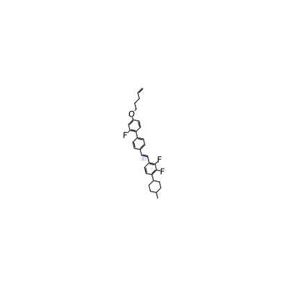 C=CCCCOc1ccc(-c2ccc(/C=C/c3ccc(C4CCC(C)CC4)c(F)c3F)cc2)c(F)c1